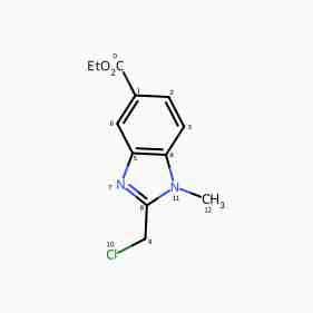 CCOC(=O)c1ccc2c(c1)nc(CCl)n2C